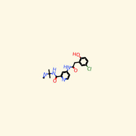 C=NC(C)(C)NC(=O)c1cc(NC(=O)Cc2cc(Cl)ccc2O)ccn1